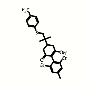 CCc1cc(C)cc(CC)c1C1=C(O)CC(C(C)(C)CSc2ccc(C(F)(F)F)cc2)CC1=O